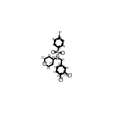 O=S(=O)(c1ccc(I)cc1)N(Cc1ccc(Cl)c(Cl)c1)C1CCOCC1